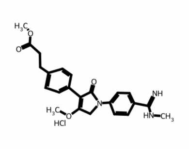 CNC(=N)c1ccc(N2CC(OC)=C(c3ccc(CCC(=O)OC)cc3)C2=O)cc1.Cl